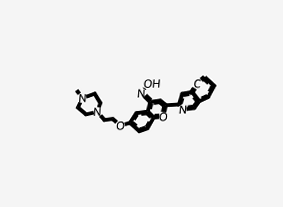 CN1CCN(CCOc2ccc3oc(-c4cc5ccccc5cn4)cc(=NO)c3c2)CC1